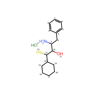 Cl.NC(Cc1ccccc1)C(O)C(S)C1CCCCC1